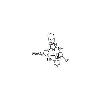 CO[C@H]1C[C@@H](C(=O)Nc2cnccn2)N(c2nc(Nc3cc(C4CC4)[nH]n3)nc(C3C4CCCC3COC4)n2)C1